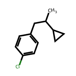 CC(Cc1ccc(Cl)cc1)C1CC1